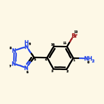 Nc1ccc(-c2nnn[nH]2)cc1Br